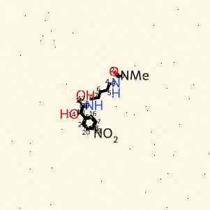 CNC(=O)NCCCCCN[C@H](CO)[C@H](O)c1ccc([N+](=O)[O-])cc1